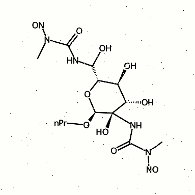 CCCO[C@H]1O[C@H](C(O)NC(=O)N(C)N=O)[C@@H](O)[C@H](O)[C@]1(O)NC(=O)N(C)N=O